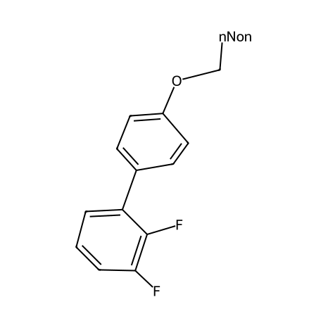 CCCCCCCCCCOc1ccc(-c2cccc(F)c2F)cc1